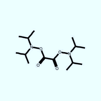 CC(C)N(OC(=O)C(=O)ON(C(C)C)C(C)C)C(C)C